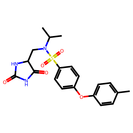 Cc1ccc(Oc2ccc(S(=O)(=O)N(CC3NC(=O)NC3=O)C(C)C)cc2)cc1